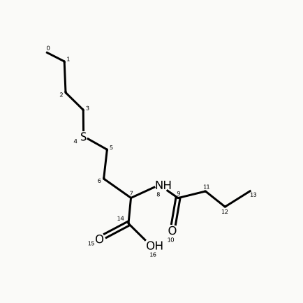 CCCCSCCC(NC(=O)CCC)C(=O)O